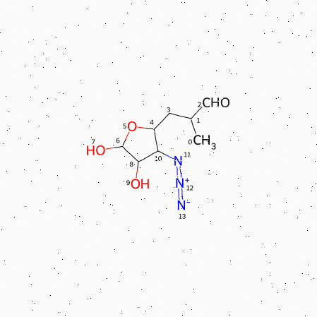 CC(C=O)CC1OC(O)C(O)C1N=[N+]=[N-]